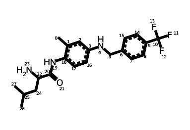 Cc1cc(NCc2ccc(C(F)(F)F)cc2)ccc1NC(=O)C(N)CC(C)C